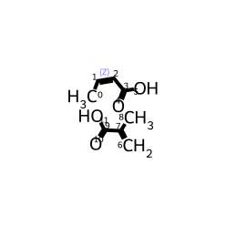 C/C=C\C(=O)O.C=C(C)C(=O)O